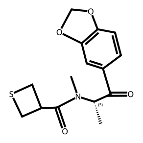 C[C@@H](C(=O)c1ccc2c(c1)OCO2)N(C)C(=O)C1CSC1